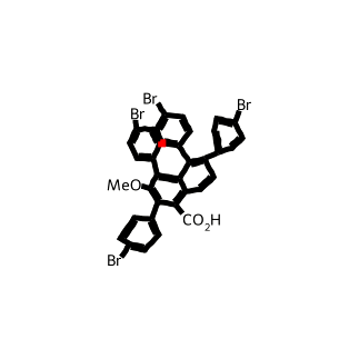 COc1c(-c2ccc(Br)cc2)c(C(=O)O)c2ccc(-c3ccc(Br)cc3)c(-c3ccc(Br)cc3)c2c1-c1ccc(Br)cc1